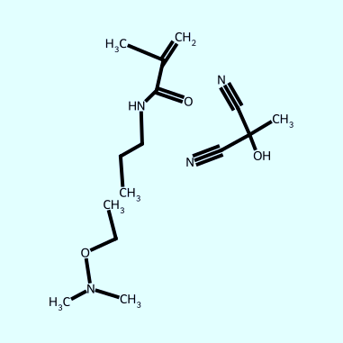 C=C(C)C(=O)NCCC.CC(O)(C#N)C#N.CCON(C)C